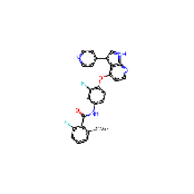 COc1cccc(F)c1C(=O)Nc1ccc(Oc2ccnc3[nH]cc(-c4ccncc4)c23)c(F)c1